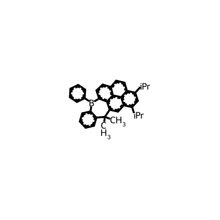 CC(C)c1cc(C(C)C)c2cc3c4c(ccc5ccc1c2c54)B(c1ccccc1)c1ccccc1C3(C)C